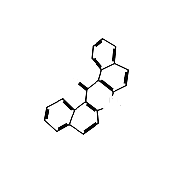 O=C(c1c(P)ccc2ccccc12)c1c(P)ccc2ccccc12